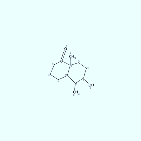 CC1C(O)CCC2(C)C(=O)CCCC12